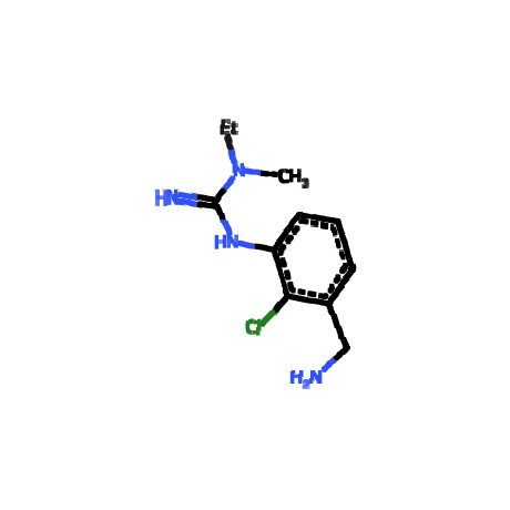 CCN(C)C(=N)Nc1cccc(CN)c1Cl